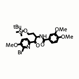 COc1ccc(C(=O)NC(CCO[Si](C)(C)C(C)(C)C)C(=O)c2ccc(OC)c(Br)n2)cc1OC